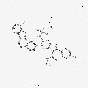 CCS(=O)(=O)Nc1cc2oc(-c3ccc(F)cc3)c(C(=O)NC)c2cc1-c1cc2c(cn1)ncn1c3cccc(F)c3cc21